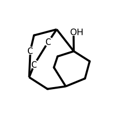 OC12CCC(CC1)CC1CCC2CC1